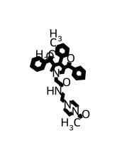 CC(=O)N1CCN(CCNC(=O)CN2CC(C(=O)c3ccccc3)C(c3cccc(C)c3C)C(C(=O)c3ccccc3)C2)CC1